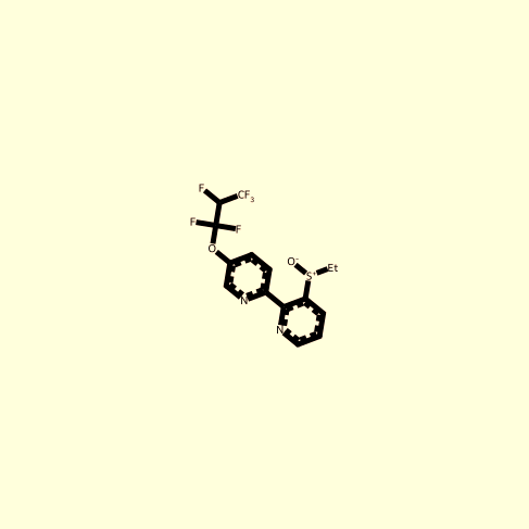 CC[S+]([O-])c1cccnc1-c1ccc(OC(F)(F)C(F)C(F)(F)F)cn1